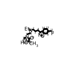 CCN(CCCc1noc2cc(CF)ccc12)CCN(CC#N)C(=O)C(C)O